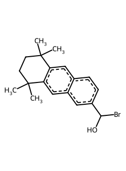 CC1(C)CCC(C)(C)c2cc3cc(C(O)Br)ccc3cc21